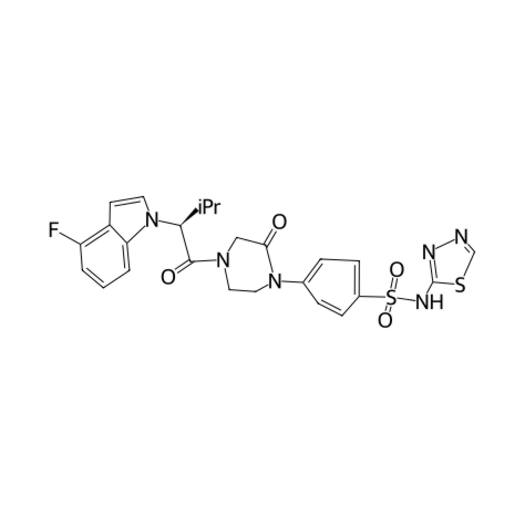 CC(C)[C@@H](C(=O)N1CCN(c2ccc(S(=O)(=O)Nc3nncs3)cc2)C(=O)C1)n1ccc2c(F)cccc21